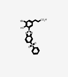 CC(C)(C)c1cc(CCC(=O)O)cc(-n2nc3ccc(S(=O)(=O)c4ccccc4)cc3n2)c1O